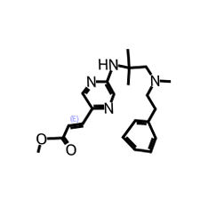 COC(=O)/C=C/c1cnc(NC(C)(C)CN(C)CCc2ccccc2)cn1